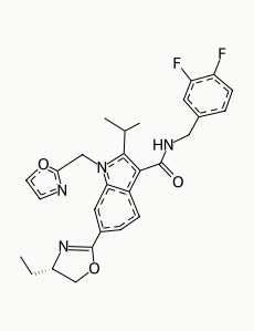 CC[C@H]1COC(c2ccc3c(C(=O)NCc4ccc(F)c(F)c4)c(C(C)C)n(Cc4ncco4)c3c2)=N1